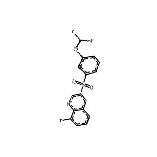 O=S(=O)(c1cccc(OC(F)F)c1)c1cnc2c(F)cccc2c1